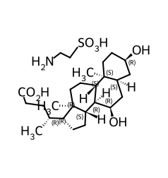 C[C@H](CCC(=O)O)[C@H]1CC[C@H]2[C@@H]3[C@H](O)C[C@@H]4C[C@H](O)CC[C@]4(C)[C@H]3CC[C@]12C.NCCS(=O)(=O)O